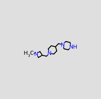 CN1CC(CN2CCC(CN3CCNCC3)CC2)C1